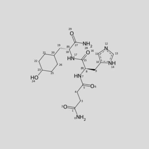 NC(=O)CCC(=O)N[C@H](Cc1cnc[nH]1)C(=O)N[C@H](CC1CCC(O)CC1)C(N)=O